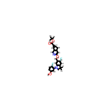 COc1ccc(F)c(N2CC(C)(C)c3cc(F)c(COc4cc5c(cn4)C4C(C5)C4C(=O)OC(C)(C)C)cc32)c1